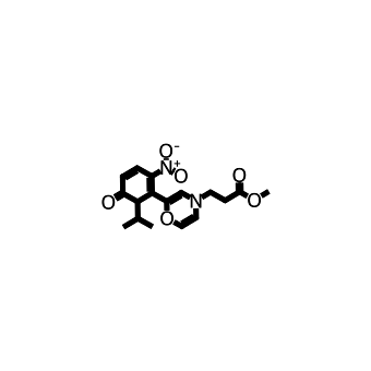 COC(=O)CCN1C=COC(C2=C([N+](=O)[O-])C=CC(=O)C2C(C)C)=C1